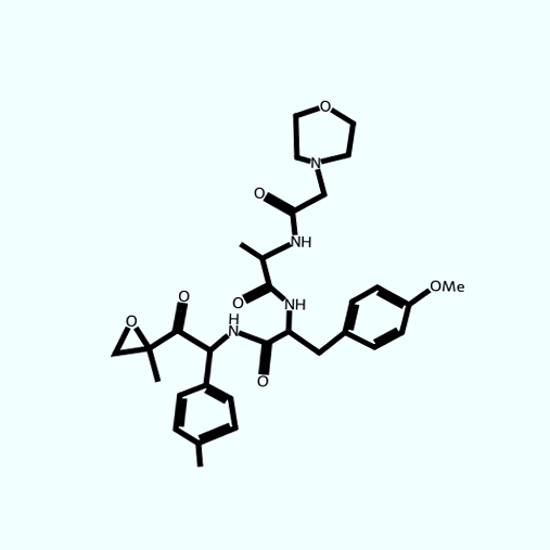 COc1ccc(CC(NC(=O)C(C)NC(=O)CN2CCOCC2)C(=O)NC(C(=O)C2(C)CO2)c2ccc(C)cc2)cc1